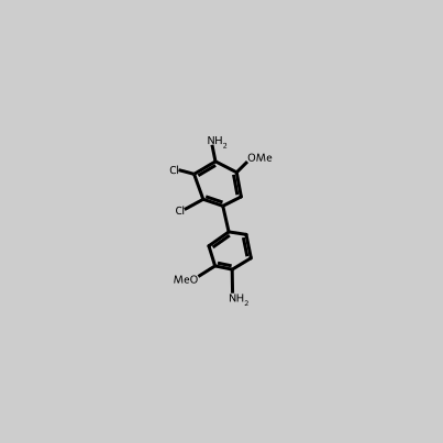 COc1cc(-c2cc(OC)c(N)c(Cl)c2Cl)ccc1N